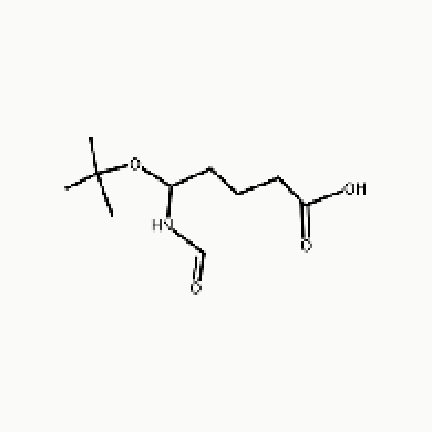 CC(C)(C)OC(CCCC(=O)O)NC=O